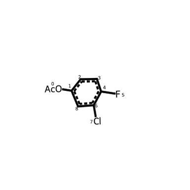 CC(=O)Oc1ccc(F)c(Cl)c1